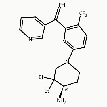 CCC1(CC)CN(c2ccc(C(F)(F)F)c(C(=P)c3cccnc3)n2)CC[C@H]1N